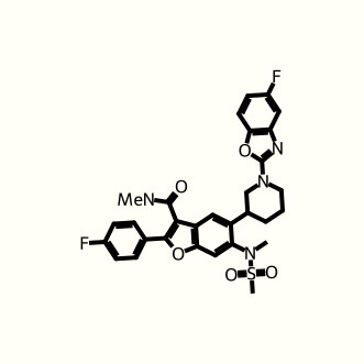 CNC(=O)c1c(-c2ccc(F)cc2)oc2cc(N(C)S(C)(=O)=O)c(C3CCCN(c4nc5cc(F)ccc5o4)C3)cc12